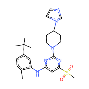 Cc1ccc(C(C)(C)C)cc1Nc1cc(S(C)(=O)=O)nc(N2CCC(n3ccnc3)CC2)n1